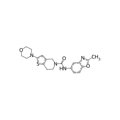 Cc1nc2cc(NC(=O)N3CCc4sc(N5CCOCC5)cc4C3)ccc2o1